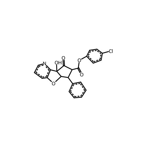 O=C(Oc1ccc(Cl)cc1)C1C(=O)C2(O)c3ncccc3OC2C1c1ccccc1